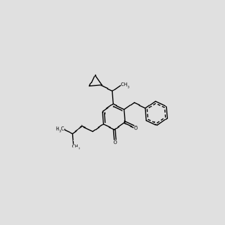 CC(C)[CH]CC1=CC(C(C)C2CC2)=C(Cc2ccccc2)C(=O)C1=O